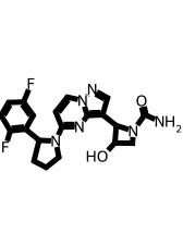 NC(=O)N1CC(O)C1c1cnn2ccc(N3CCCC3c3cc(F)ccc3F)nc12